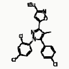 Cc1c(-c2cc(C(C)(C)C)no2)nn(-c2ccc(Cl)cc2Cl)c1-c1ccc(Cl)cc1